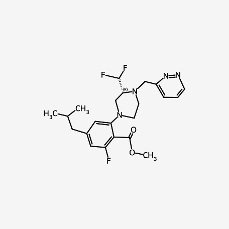 COC(=O)c1c(F)cc(CC(C)C)cc1N1CCN(Cc2cccnn2)[C@@H](C(F)F)C1